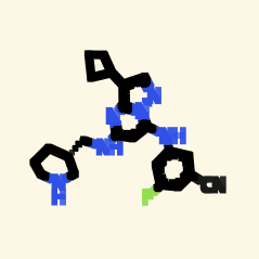 N#Cc1cc(F)cc(Nc2cc(NC[C@H]3CCCNC3)nc3c(C4CCC4)cnn23)c1